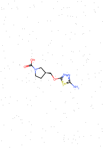 Nc1nnc(OC[C@H]2CCN(C(=O)O)C2)s1